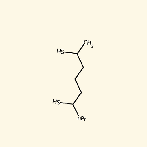 CCCC(S)CCCC(C)S